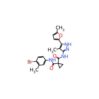 Cc1ccc(-c2[nH]nc(NC(=O)C3(C(=O)Nc4ccc(Br)c(C)c4)CC3)c2C)o1